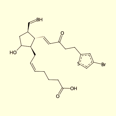 B=C[C@@H]1CC(O)[C@H](C/C=C\CCCC(=O)O)[C@H]1/C=C/C(=O)CCc1cc(Br)cs1